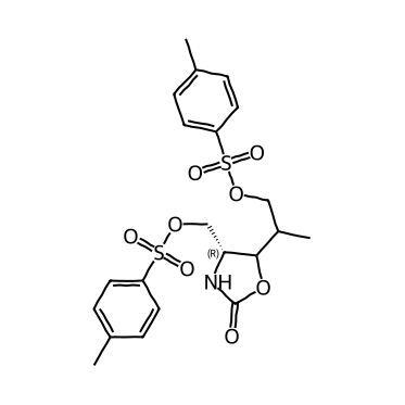 Cc1ccc(S(=O)(=O)OCC(C)C2OC(=O)N[C@@H]2COS(=O)(=O)c2ccc(C)cc2)cc1